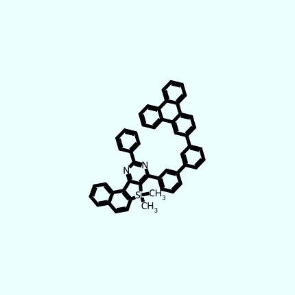 C[Si]1(C)c2ccc3ccccc3c2-c2nc(-c3ccccc3)nc(-c3cccc(-c4cccc(-c5ccc6c7ccccc7c7ccccc7c6c5)c4)c3)c21